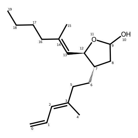 C=C/C=C(\C)CC[C@H]1CC(O)O[C@@H]1/C=C(\C)CCCC